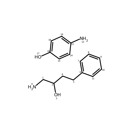 NCC(O)CCc1ccccc1.Nc1ccc(O)cc1